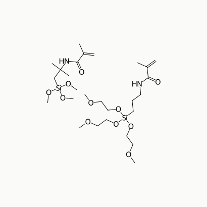 C=C(C)C(=O)NC(C)(C)C[Si](OC)(OC)OC.C=C(C)C(=O)NCCC[Si](OCCOC)(OCCOC)OCCOC